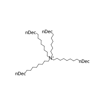 CCCCCCCCCCCCCCCCCC[N+](CCCCCCCCCCCCCCCCC)(CCCCCCCCCCCCCCCCCC)CCCCCCCCCCCCCCCCCC